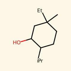 CCC1(C)CCC(C(C)C)C(O)C1